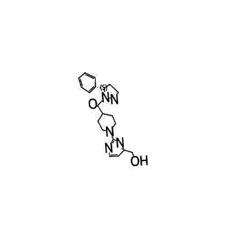 O=C(C1CCN(c2nccc(CO)n2)CC1)N1N=CC[C@H]1c1ccccc1